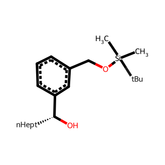 CCCCCCC[C@@H](O)c1cccc(CO[Si](C)(C)C(C)(C)C)c1